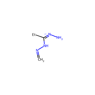 C=NN/C(CC)=N\N